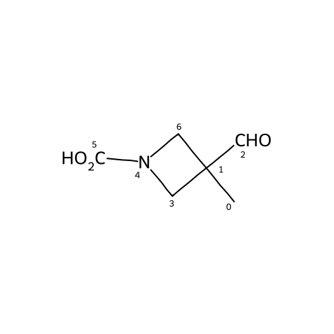 CC1(C=O)CN(C(=O)O)C1